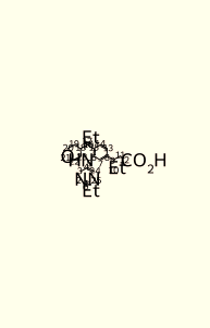 CCc1ncc(Nc2cc(C(CC)CC(=O)O)ccc2[C@H](CC)C2CCOCC2)cn1